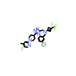 Cc1cc(N2CCC(c3nnc4n3-c3ccc(Cl)cc3CN(C35CC(C(F)(F)F)(C3)C5)C4)CC2)ncc1F